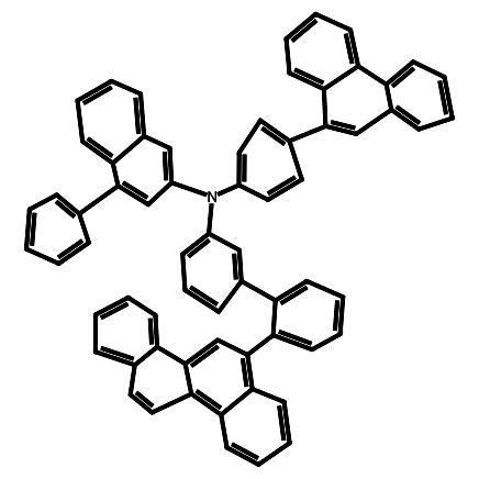 c1ccc(-c2cc(N(c3ccc(-c4cc5ccccc5c5ccccc45)cc3)c3cccc(-c4ccccc4-c4cc5c6ccccc6ccc5c5ccccc45)c3)cc3ccccc23)cc1